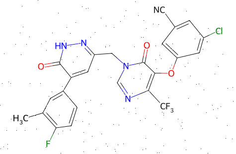 Cc1cc(-c2cc(Cn3cnc(C(F)(F)F)c(Oc4cc(Cl)cc(C#N)c4)c3=O)n[nH]c2=O)ccc1F